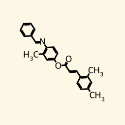 Cc1ccc(/C=C/C(=O)Oc2ccc(/N=C/c3ccccc3)c(C)c2)c(C)c1